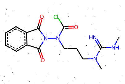 CNC(=N)N(C)CCCN(C(=O)Cl)N1C(=O)c2ccccc2C1=O